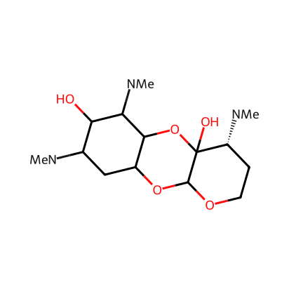 CNC1CC2OC3OCC[C@@H](NC)C3(O)OC2C(NC)C1O